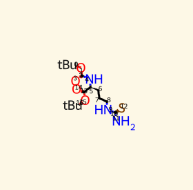 CC(C)(C)OC(=O)N[C@@H](CCCNC(N)=S)C(=O)OC(C)(C)C